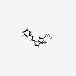 O=C(O)c1cc2c(cnn2C=Cc2ccccc2)[nH]1